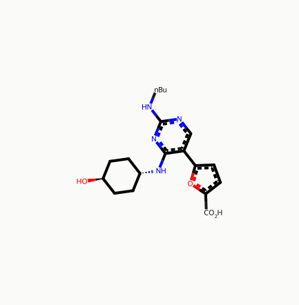 CCCCNc1ncc(-c2ccc(C(=O)O)o2)c(N[C@H]2CC[C@H](O)CC2)n1